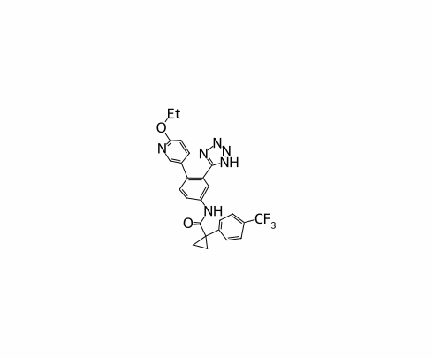 CCOc1ccc(-c2ccc(NC(=O)C3(c4ccc(C(F)(F)F)cc4)CC3)cc2-c2nnn[nH]2)cn1